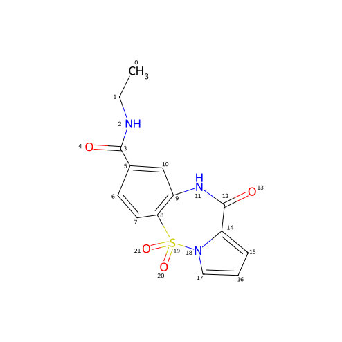 CCNC(=O)c1ccc2c(c1)NC(=O)c1cccn1S2(=O)=O